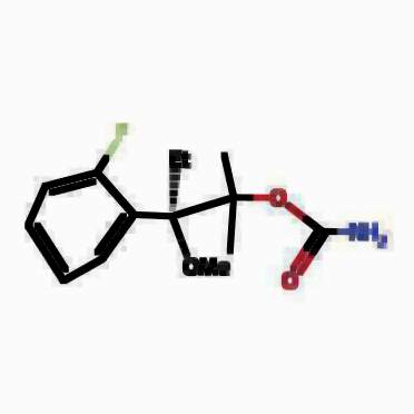 CC[C@](OC)(c1ccccc1F)C(C)(C)OC(N)=O